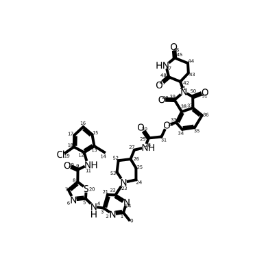 Cc1nc(Nc2ncc(C(=O)Nc3c(C)cccc3Cl)s2)cc(N2CCC(CNC(=O)COc3cccc4c3C(=O)N(C3CCC(=O)NC3=O)C4=O)CC2)n1